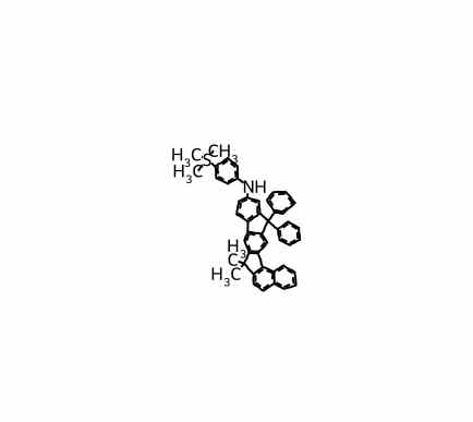 CC1(C)c2cc3c(cc2-c2c1ccc1ccccc21)C(c1ccccc1)(c1ccccc1)c1cc(Nc2ccc(S(C)(C)C)cc2)ccc1-3